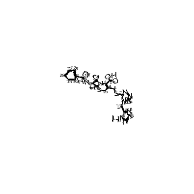 O=C(O)C1=C(CSc2nnnn2Cc2nnn[nH]2)CS[C@H]2[C@H](NC(=O)c3ccccc3)C(=O)N12